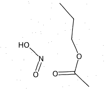 CCCOC(C)=O.O=NO